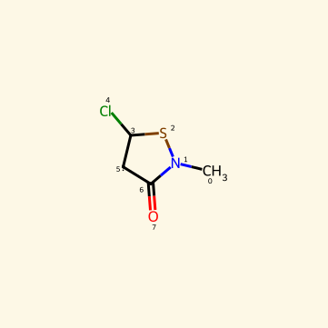 CN1SC(Cl)[CH]C1=O